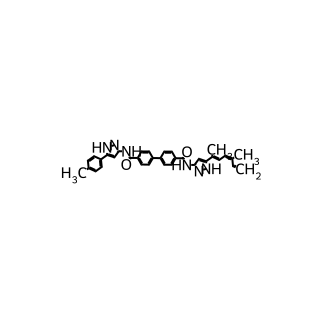 C=C/C(C)=C\C=C(/C)c1cc(NC(=O)c2ccc(-c3ccc(C(=O)Nc4cc(-c5ccc(C)cc5)[nH]n4)cc3)cc2)n[nH]1